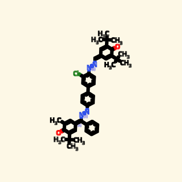 CC1=C/C(=C(\N=N\c2ccc(-c3ccc(/N=N/C=C4C=C(C(C)(C)C)C(=O)C(C(C)(C)C)=C4)c(Cl)c3)cc2)c2ccccc2)C=C(C(C)(C)C)C1=O